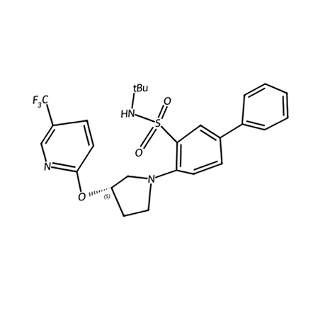 CC(C)(C)NS(=O)(=O)c1cc(-c2ccccc2)ccc1N1CC[C@H](Oc2ccc(C(F)(F)F)cn2)C1